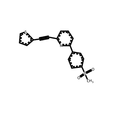 CS(=O)(=O)c1ccc(-c2cccc(C#Cc3cccs3)n2)cc1